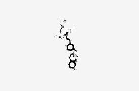 CN(C)C[C@H](O)CN1C(=O)S/C(=C\c2ccc3c(cnn3Cc3ccc(Cl)cc3C(F)(F)F)c2)C1=O